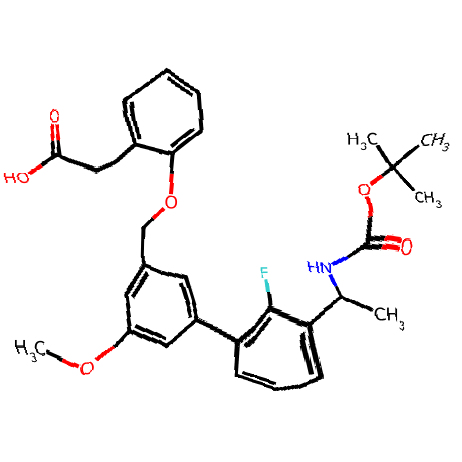 COc1cc(COc2ccccc2CC(=O)O)cc(-c2cccc(C(C)NC(=O)OC(C)(C)C)c2F)c1